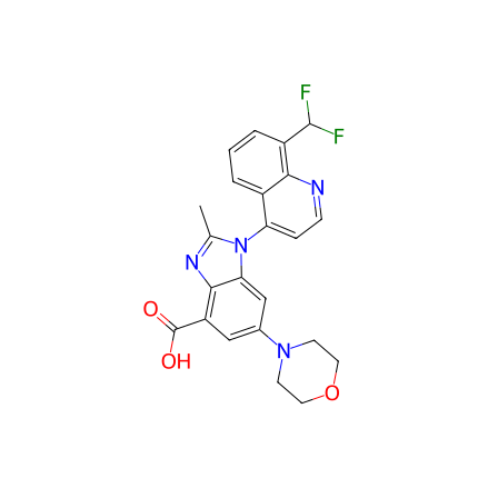 Cc1nc2c(C(=O)O)cc(N3CCOCC3)cc2n1-c1ccnc2c(C(F)F)cccc12